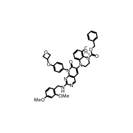 COc1ccc(CNc2ncc3cc(N4CCN(C(=O)OCc5ccccc5)c5c(C)cccc54)c(=O)n(-c4ccc(OC5COC5)cc4)c3n2)c(OC)c1